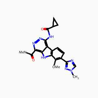 CNC(=O)c1nnc(NC(=O)C2CC2)c2c1[nH]c1c(OC)c(-c3ncn(C)n3)ccc12